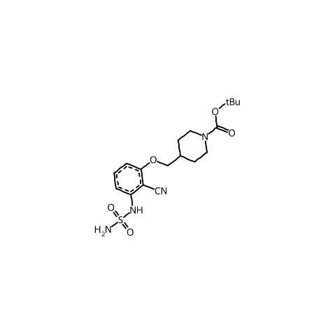 CC(C)(C)OC(=O)N1CCC(COc2cccc(NS(N)(=O)=O)c2C#N)CC1